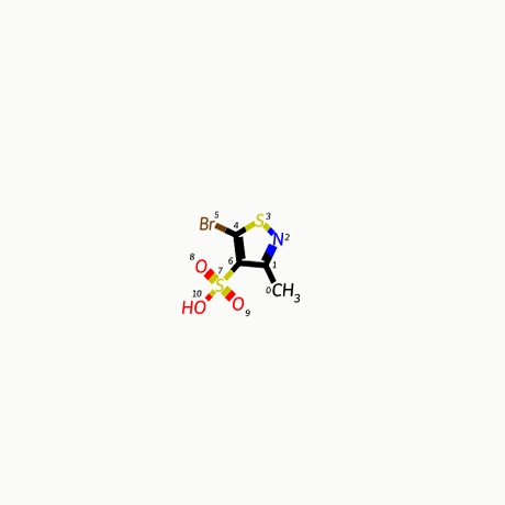 Cc1nsc(Br)c1S(=O)(=O)O